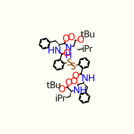 CC(C)C[C@H](NC(=O)[C@H](Cc1ccccc1)NC(=O)c1ccccc1SSc1ccccc1C(=O)N[C@@H](Cc1ccccc1)C(=O)N[C@@H](CC(C)C)C(=O)OC(C)(C)C)C(=O)OC(C)(C)C